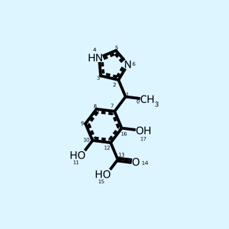 CC(c1c[nH]cn1)c1ccc(O)c(C(=O)O)c1O